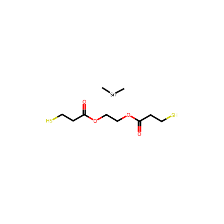 O=C(CCS)OCCOC(=O)CCS.[CH3][Sn][CH3]